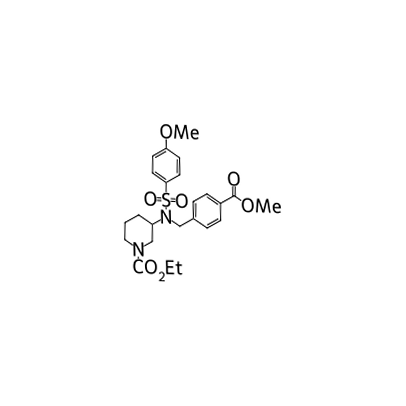 CCOC(=O)N1CCCC(N(Cc2ccc(C(=O)OC)cc2)S(=O)(=O)c2ccc(OC)cc2)C1